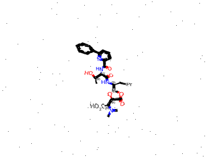 CC(C)C[C@H](NC(=O)[C@@H](NC(=O)c1cccc(-c2ccccc2)n1)[C@@H](C)O)B1OC(=O)[C@@H]([C@H](C(=O)O)N(C)C)O1